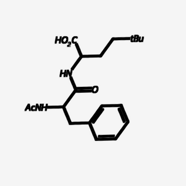 CC(=O)NC(Cc1ccccc1)C(=O)NC(CCC(C)(C)C)C(=O)O